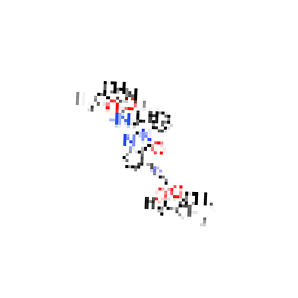 C[C@H](NC(=O)OC(C)(C)C)c1nc2cccc(/C=C/CC(=O)OC(C)(C)C)c2c(=O)n1-c1ccccc1